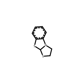 c1ccc2c(c1)SC1SCCN21